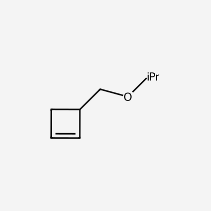 CC(C)OCC1C=CC1